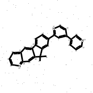 CC1(C)c2cc(-c3cc(-c4cccnc4)ccn3)ccc2-c2cc3cccnc3cc21